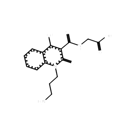 NCCCn1c(=O)c(C(=O)NCC(=O)O)c(O)c2ccccc21